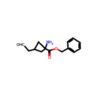 NC1(C(=O)OCc2ccccc2)CC(CC=O)C1